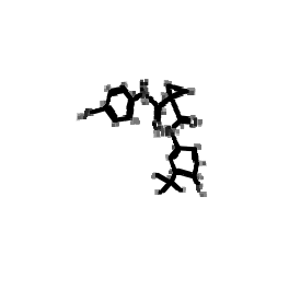 CC(C)(C)c1cc(NC(=O)C2(C(=O)Nc3ccc(F)cc3)CC2)ccc1F